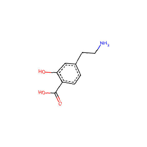 NCCc1ccc(C(=O)O)c(O)c1